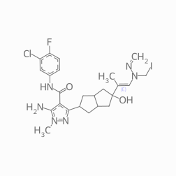 C=NN(/C=C(\C)C1(O)CC2CC(c3nn(C)c(N)c3C(=O)Nc3ccc(F)c(Cl)c3)CC2C1)CI